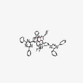 N#Cc1cc(-n2c3ccccc3c3cc(-c4nc(-c5ccccc5)nc(-c5ccccc5)n4)ccc32)c(-c2cc(C(F)(F)F)ccc2C(F)(F)F)c(-n2c3ccccc3c3cc(-c4nc(-c5ccccc5)nc(-c5ccccc5)n4)ccc32)c1